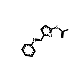 C=C(C)Sc1ccc(C=Nc2ccccc2)o1